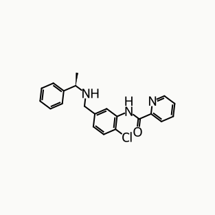 C[C@@H](NCc1ccc(Cl)c(NC(=O)c2ccccn2)c1)c1ccccc1